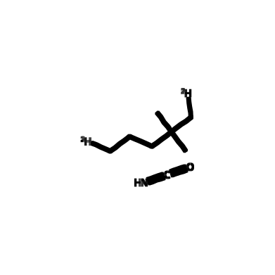 N=C=O.[2H]CCCC(C)(C)C[2H]